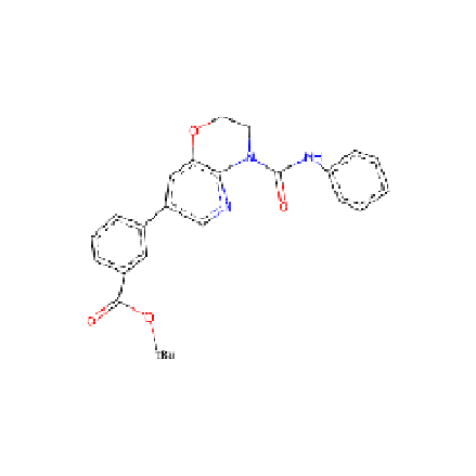 CC(C)(C)OC(=O)c1cccc(-c2cnc3c(c2)OCCN3C(=O)Nc2ccccc2)c1